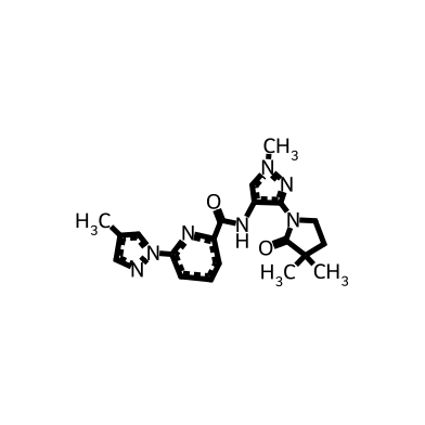 Cc1cnn(-c2cccc(C(=O)Nc3cn(C)nc3N3CCC(C)(C)C3=O)n2)c1